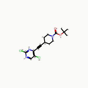 CC(C)(C)OC(=O)N1CCC(C#Cc2nc(Cl)ncc2Cl)CC1